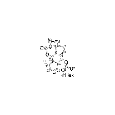 CCCCCCOC(=O)Oc1c2ccccc2c(OC(=O)OCCCCCC)c2c(C)cccc12